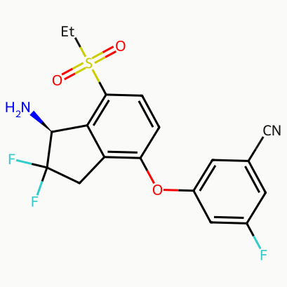 CCS(=O)(=O)c1ccc(Oc2cc(F)cc(C#N)c2)c2c1[C@H](N)C(F)(F)C2